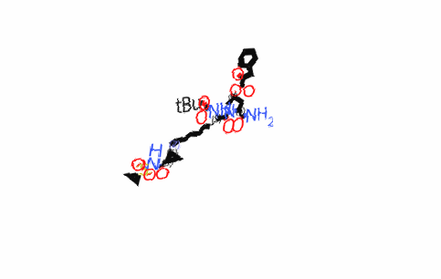 CC(C)(C)OC(=O)N[C@@H](CCCCC/C=C\[C@@H]1C[C@@H]1C(=O)NS(=O)(=O)C1CC1)C(=O)N1C[C@H](OC(=O)c2cc3ccccc3o2)C[C@H]1C(N)=O